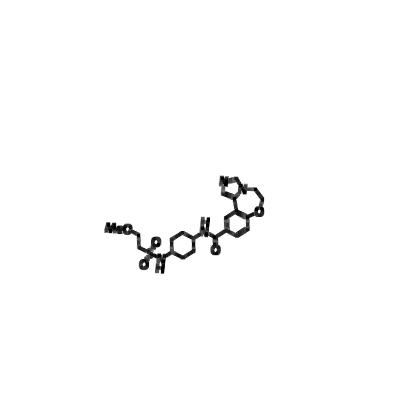 COCCS(=O)(=O)NC1CCC(NC(=O)c2ccc3c(c2)-c2cncn2CCO3)CC1